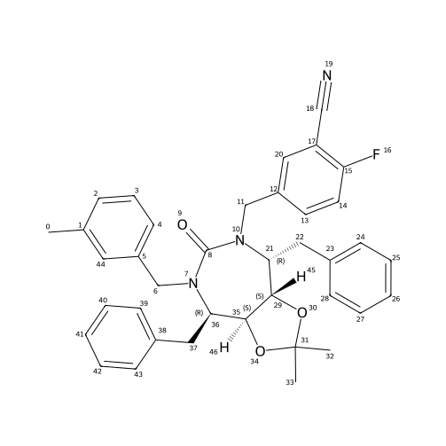 Cc1cccc(CN2C(=O)N(Cc3ccc(F)c(C#N)c3)[C@H](Cc3ccccc3)[C@@H]3OC(C)(C)O[C@H]3[C@H]2Cc2ccccc2)c1